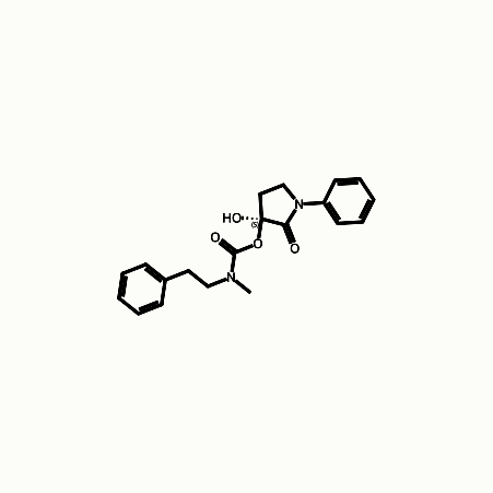 CN(CCc1ccccc1)C(=O)O[C@@]1(O)CCN(c2ccccc2)C1=O